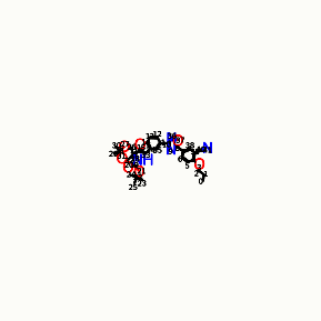 CCCOc1ccc(-c2nc(-c3ccc4oc(C5(NC(=O)OC(C)(C)C)COC(C)(C)OC5)cc4c3)no2)cc1C#N